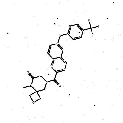 CN1C(=O)CN(C(=O)c2ccc3cc(Oc4ccc(C(F)(F)F)cn4)ccc3n2)CC12COC2